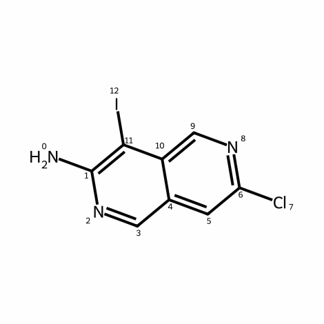 Nc1ncc2cc(Cl)ncc2c1I